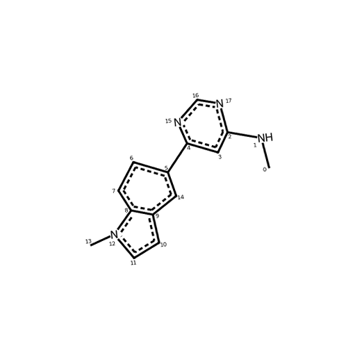 CNc1cc(-c2ccc3c(ccn3C)c2)ncn1